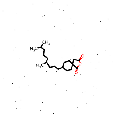 CC(C)CCCC(C)CCCC1CCC2(CC1)CC(=O)OC2=O